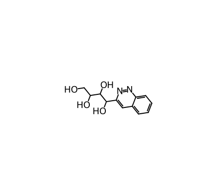 OCC(O)C(O)C(O)c1cc2ccccc2nn1